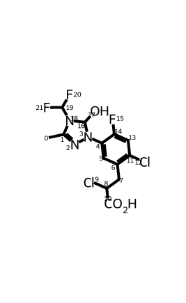 CC1=NN(c2cc(CC(Cl)C(=O)O)c(Cl)cc2F)C(O)N1C(F)F